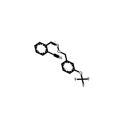 N#Cc1ccccc1/[C]=N\OCc1cccc(OC(F)(F)F)c1